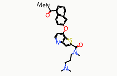 CNC(=O)c1cccc2cc(Oc3ccnc4cc(C(=O)N(C)CCCN(C)C)sc34)ccc12